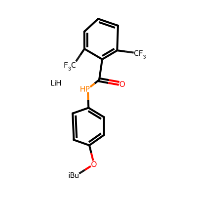 CCC(C)Oc1ccc(PC(=O)c2c(C(F)(F)F)cccc2C(F)(F)F)cc1.[LiH]